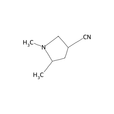 CC1CC(C#N)CN1C